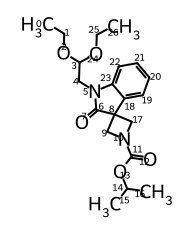 CCOC(CN1C(=O)C2(CN(C(=O)OC(C)C)C2)c2ccccc21)OCC